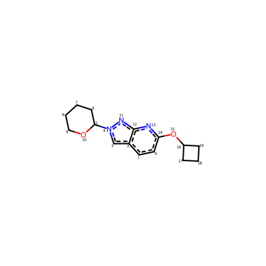 c1cc2cn(C3CCCCO3)nc2nc1OC1CCC1